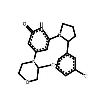 CC1COCCN1c1cc(N2CCCC2c2cccc(Cl)c2)[nH]c(=O)c1